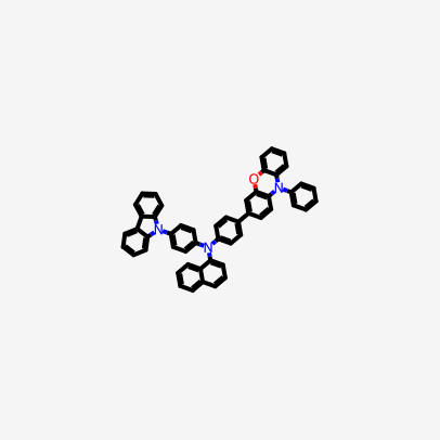 c1ccc(N2c3ccccc3Oc3cc(-c4ccc(N(c5ccc(-n6c7ccccc7c7ccccc76)cc5)c5cccc6ccccc56)cc4)ccc32)cc1